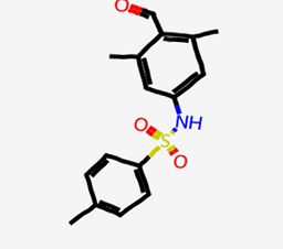 Cc1ccc(S(=O)(=O)Nc2cc(C)c(C=O)c(C)c2)cc1